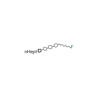 CCCCCCCc1ccc(C2CCC(C3CCC(C4CCC(CCCCCCCCF)CC4)CC3)CC2)cc1